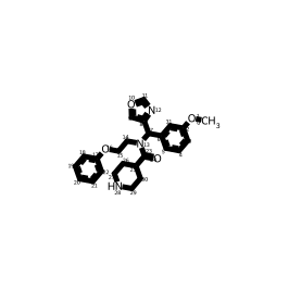 COc1cccc(C(c2cocn2)N(CCOc2ccccc2)C(=O)C2CCNCC2)c1